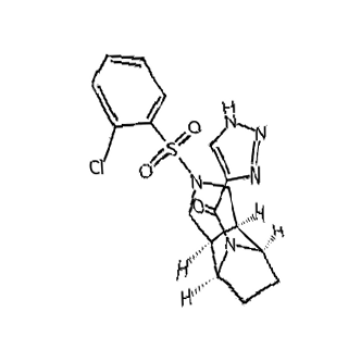 O=C(c1c[nH]nn1)N1[C@@H]2CC[C@H]1[C@H]1CN(S(=O)(=O)c3ccccc3Cl)C[C@H]12